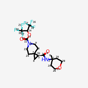 CC1(NC(=O)[C@H]2CC23CCN(C(=O)OC(C(F)(F)F)C(F)(F)F)CC3)CCOCC1